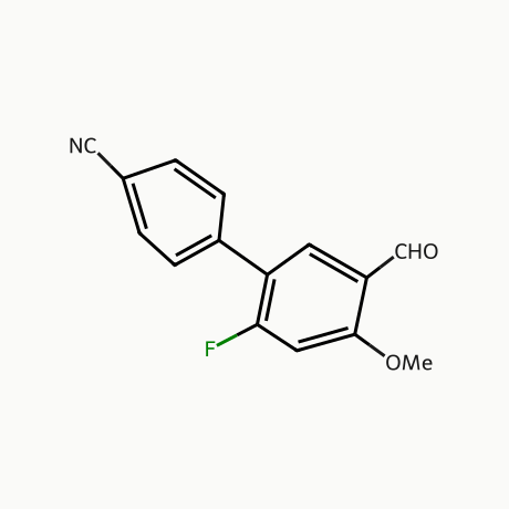 COc1cc(F)c(-c2ccc(C#N)cc2)cc1C=O